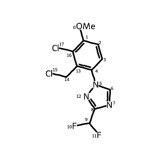 COc1ccc(-n2cnc(C(F)F)n2)c(CCl)c1Cl